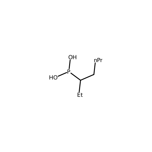 CCCCC(CC)P(O)O